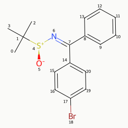 CC(C)(C)[S@+]([O-])/N=C(/c1ccccc1)c1ccc(Br)cc1